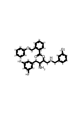 CCc1cccc(CNCC(OC(=O)c2ccccc2COc2ccccc2)C(N)Cc2cc(F)cc(F)c2)c1